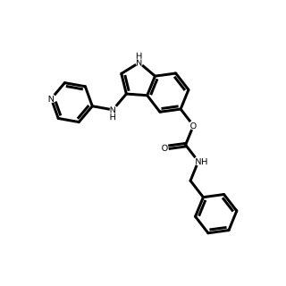 O=C(NCc1ccccc1)Oc1ccc2[nH]cc(Nc3ccncc3)c2c1